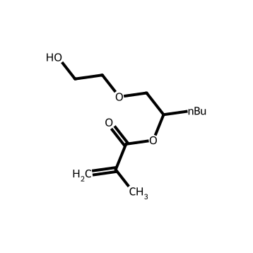 C=C(C)C(=O)OC(CCCC)COCCO